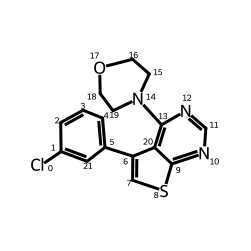 Clc1cccc(-c2csc3ncnc(N4CCOCC4)c23)c1